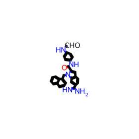 N=C(N)c1ccc2cc(C(=O)Nc3ccc(NC=O)cc3)n(Cc3cccc4ccccc34)c2c1